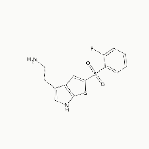 NCCc1c[nH]c2sc(S(=O)(=O)c3ccccc3F)cc12